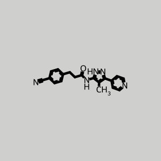 Cc1c(-c2ccncc2)n[nH]c1NC(=O)CCc1ccc(C#N)cc1